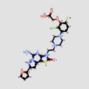 Nc1nc2c(sc(=O)n2CCN2CCN(c3ccc(F)c(OCC(=O)O)c3F)CC2)c2cc(-c3ccco3)nn12